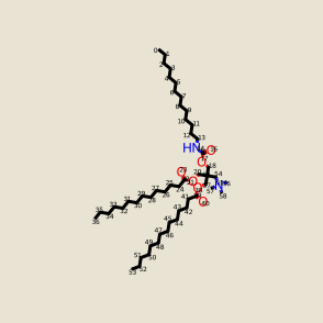 CCCCCCCCCCCCCCNC(=O)OCC(COC(=O)CCCCCCCCCCCCC)(COC(=O)CCCCCCCCCCCCC)C[N+](C)(C)C